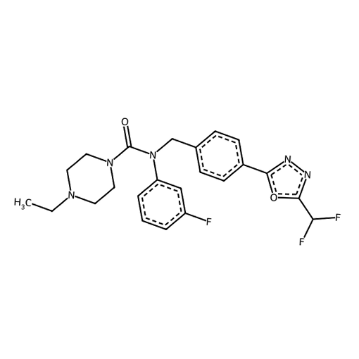 CCN1CCN(C(=O)N(Cc2ccc(-c3nnc(C(F)F)o3)cc2)c2cccc(F)c2)CC1